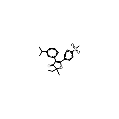 CCC1(C)OC(c2ccc(S(C)(=O)=O)cc2)=C(c2cccc(C(C)C)c2)C1=O